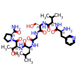 CC(C)C[C@H](NC(=O)CNC(=O)[C@H](CO)NC(=O)[C@@H](NC(=O)[C@@H](N)Cc1cccnc1)C(C)C)C(=O)N[C@H](C(=O)N1CCC[C@H]1C(N)=O)[C@@H](C)O